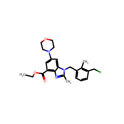 CCOC(=O)c1cc(N2CCOCC2)cc2c1nc(C)n2Cc1cccc(CF)c1C